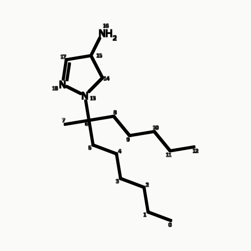 CCCCCCC(C)(CCCCC)N1CC(N)C=N1